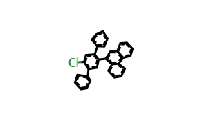 Clc1cc(-c2ccccc2)c(-c2cc3ccccc3c3ccccc23)cc1-c1ccccc1